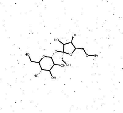 CC(C)OC[C@H]1O[C@@](CO)(O[C@H]2OC(CO)[C@@H](O)C(O)C2O)C(O)[C@H]1O